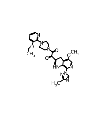 CCOc1cccnc1N1CCN(C(=O)C(=O)C2=CNc3c(-n4cnc(C)n4)ncc(OC)c3C2)CC1